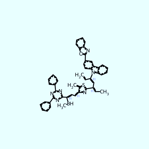 C=C/C(=C\C(=C/C)c1n/c(=C/C=C(\BC)c2nc(-c3ccccc3)nc(-c3ccccc3)n2)c(=C)s1)n1c2ccccc2c2cc(-c3nc4ccccc4o3)ccc21